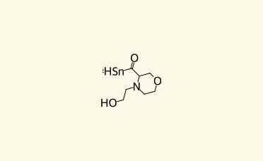 O=[C]([SnH])C1COCCN1CCO